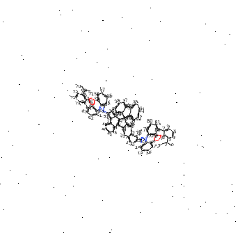 CC(C)c1cccc2c1oc1c(N(c3ccccc3)c3ccc4cc5c(cc4c3)C3(c4ccccc4-c4ccccc43)c3c-5c4ccccc4c4cc(N(c5ccccc5)c5cccc6c5oc5c(C(C)C)cccc56)ccc34)cccc12